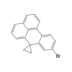 Brc1ccc2c(c1)C1(CC1)c1cccc3cccc-2c13